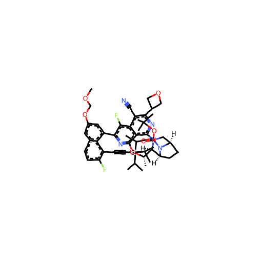 COCOc1cc(-c2nc3c4c(nc(C5COC5)c(C#N)c4c2F)N2C[C@H]4CC[C@@H]([C@H]2[C@H](C)O3)N4C(=O)OC(C)(C)C)c2c(C#C[Si](C(C)C)(C(C)C)C(C)C)c(F)ccc2c1